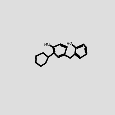 Oc1ccccc1Cc1ccc(O)c(C2CCCCC2)c1